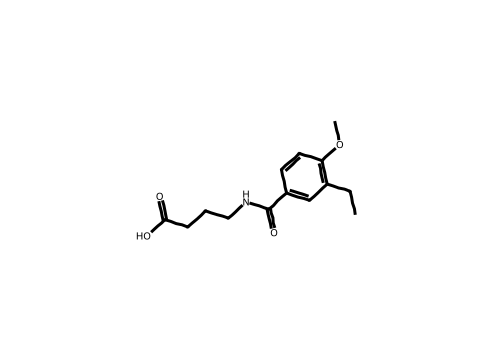 CCc1cc(C(=O)NCCCC(=O)O)ccc1OC